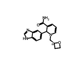 NC(=O)C1=CC=CN(C[C@@H]2CCO2)C1c1ccc2[nH]cnc2c1